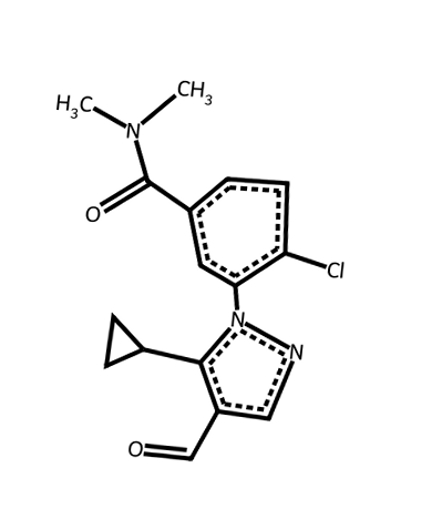 CN(C)C(=O)c1ccc(Cl)c(-n2ncc(C=O)c2C2CC2)c1